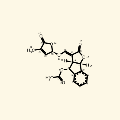 CC(=O)O[C@@H]1c2ccccc2[C@H]2OC(=O)/C(=C/O[C@H]3C=C(C)C(=O)O3)[C@@H]12